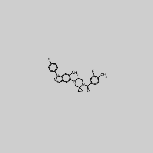 Cc1ccc(C(=O)N2CCN(c3cc4cnn(-c5ccc(F)cc5)c4cc3C)CC23CC3)cc1F